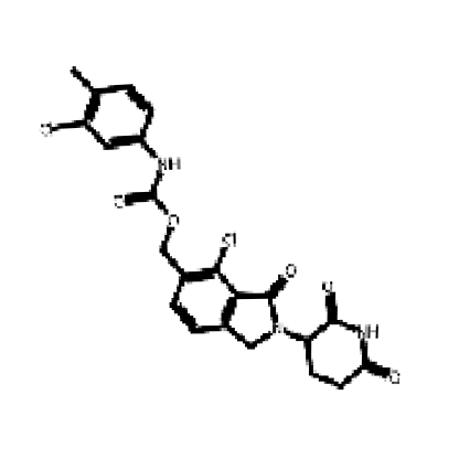 Cc1ccc(NC(=O)OCc2ccc3c(c2Cl)C(=O)N(C2CCC(=O)NC2=O)C3)cc1Cl